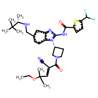 CCOC(C)(C)C=C(C#N)C(=O)N1CC[C@@H](n2c(NC(=O)c3ccc(C(F)F)s3)nc3cc(CN[C@@H](C)C(C)(C)C)ccc32)C1